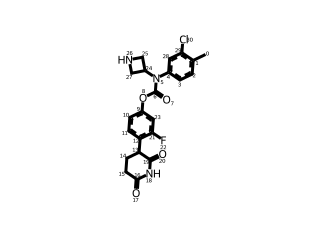 Cc1ccc(N(C(=O)Oc2ccc(C3CCC(=O)NC3=O)c(F)c2)C2CNC2)cc1Cl